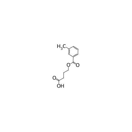 Cc1cccc(C(=O)OCCCC(=O)O)c1